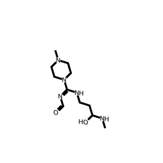 CNC(O)CCN/C(=N\C=O)N1CCN(C)CC1